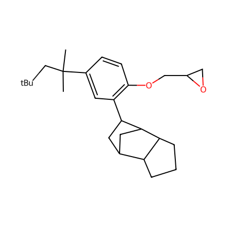 CC(C)(C)CC(C)(C)c1ccc(OCC2CO2)c(C2CC3CC2C2CCCC32)c1